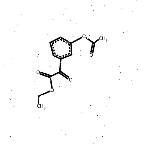 CCOC(=O)C(=O)c1cccc(OC(C)=O)c1